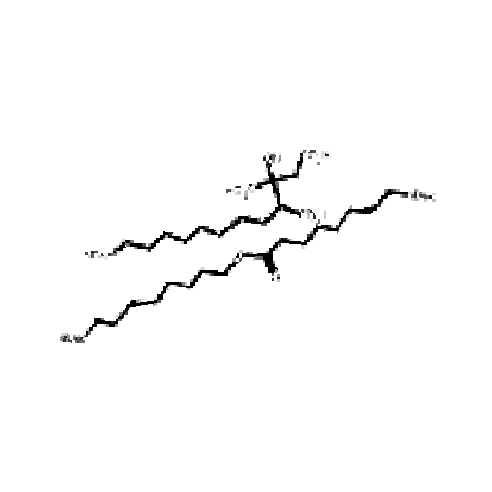 CCCCCCCCCCCCCCCCCCC(C(=O)O)C(O)(CC(=O)O)C(=O)O.CCCCCCCCCCCCCCCCCCOC(=O)CCCCCCCCCCCCCCCCC